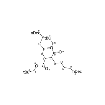 CCCCCCCCCCCCCCC(C(=O)OCC(C)(C)C)C(CCCCCCCCCCCCCC)C(=O)OCC(C)(C)C